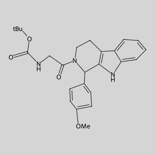 COc1ccc(C2c3[nH]c4ccccc4c3CCN2C(=O)CNC(=O)OC(C)(C)C)cc1